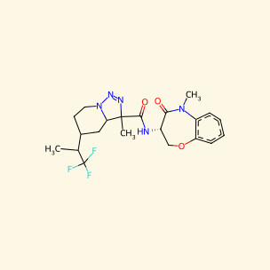 CC(C1CCN2N=NC(C)(C(=O)N[C@H]3COc4ccccc4N(C)C3=O)C2C1)C(F)(F)F